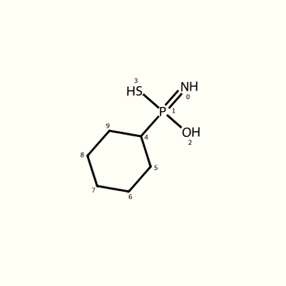 N=P(O)(S)C1CCCCC1